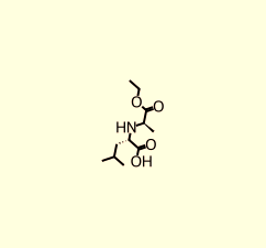 CCOC(=O)[C@@H](C)N[C@@H](CC(C)C)C(=O)O